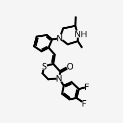 CC1CN(c2ccccc2/C=C2\SCCN(c3ccc(F)c(F)c3)C2=O)CC(C)N1